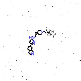 CC(C)(C)CCN1CCC2(CC1)CC2CNc1ccc(-c2ccc3ccncc3c2)nn1